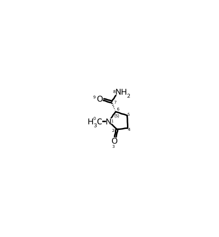 CN1C(=O)CC[C@H]1C(N)=O